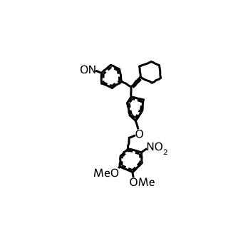 COc1cc(COc2ccc(C(=C3CCCCC3)c3ccc(N=O)cc3)cc2)c([N+](=O)[O-])cc1OC